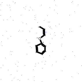 C/C=C\Oc1c[c]ccc1